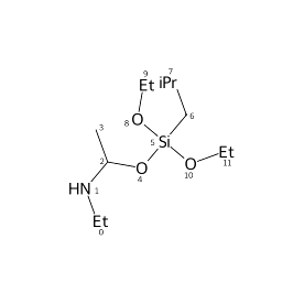 CCNC(C)O[Si](CC(C)C)(OCC)OCC